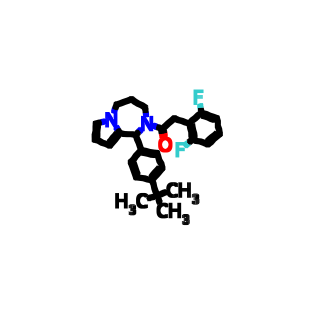 CC(C)(C)c1ccc(C2c3cccn3CCCN2C(=O)Cc2c(F)cccc2F)cc1